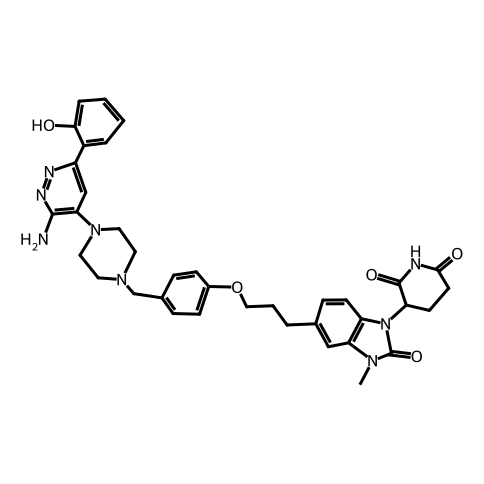 Cn1c(=O)n(C2CCC(=O)NC2=O)c2ccc(CCCOc3ccc(CN4CCN(c5cc(-c6ccccc6O)nnc5N)CC4)cc3)cc21